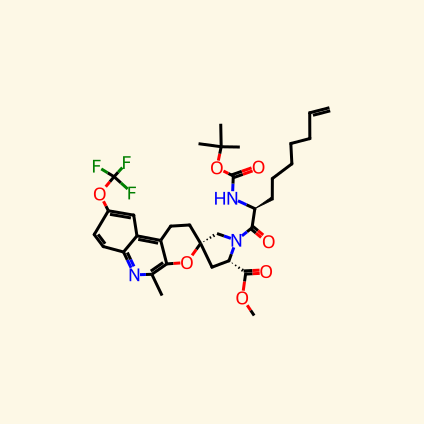 C=CCCCCC[C@H](NC(=O)OC(C)(C)C)C(=O)N1C[C@]2(CCc3c(c(C)nc4ccc(OC(F)(F)F)cc34)O2)C[C@H]1C(=O)OC